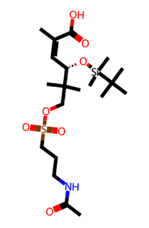 CC(=O)NCCCS(=O)(=O)OCC(C)(C)[C@H](C=C(C)C(=O)O)O[Si](C)(C)C(C)(C)C